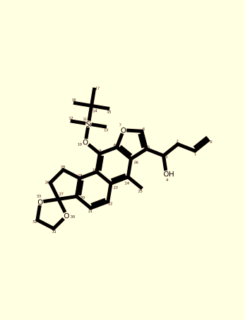 C=CCC(O)c1coc2c(O[Si](C)(C)C(C)(C)C)c3c4c(ccc3c(C)c12)C1(CC4)OCCO1